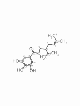 C=C(C)C(CC=C(C)C)COC(=O)c1cc(O)c(O)c(O)c1